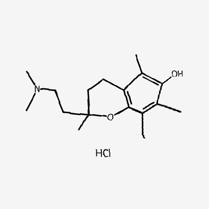 Cc1c(C)c2c(c(C)c1O)CCC(C)(CCN(C)C)O2.Cl